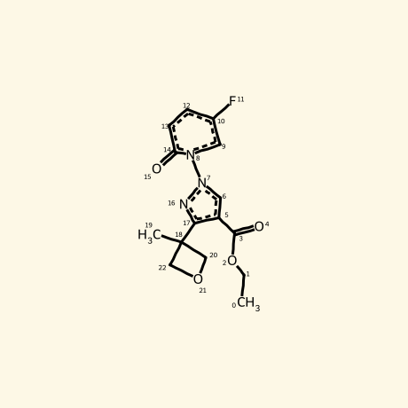 CCOC(=O)c1cn(-n2cc(F)ccc2=O)nc1C1(C)COC1